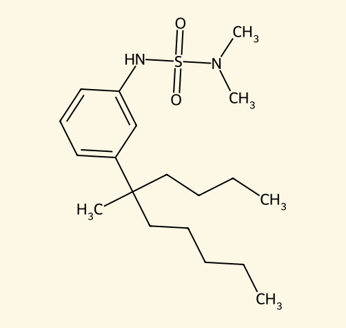 CCCCCC(C)(CCCC)c1cccc(NS(=O)(=O)N(C)C)c1